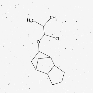 CC(C)C(Cl)OC1CC2CC1C1CCCC21